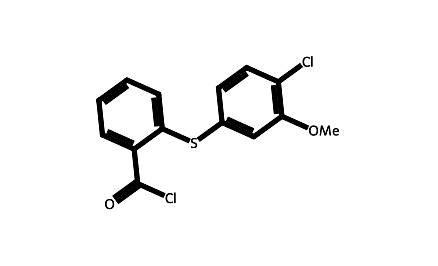 COc1cc(Sc2ccccc2C(=O)Cl)ccc1Cl